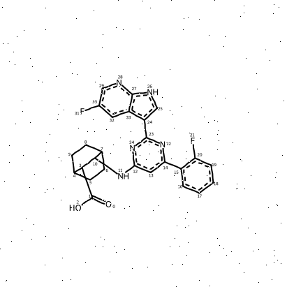 O=C(O)C1C2CCC(CC2)C1Nc1cc(-c2ccccc2F)nc(-c2c[nH]c3ncc(F)cc23)n1